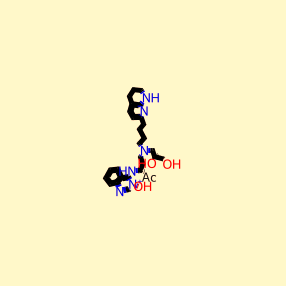 CC(=O)[C@H](CCN(CCCCc1ccc2c(n1)NCCC2)C[C@H](O)CO)Nc1c2ccccc2nc[n+]1O